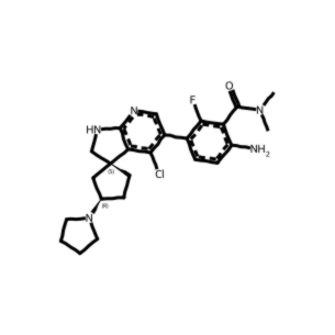 CN(C)C(=O)c1c(N)ccc(-c2cnc3c(c2Cl)[C@@]2(CC[C@@H](N4CCCC4)C2)CN3)c1F